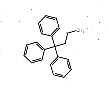 [CH2]CCC(c1ccccc1)(c1ccccc1)c1ccccc1